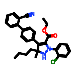 CCCCC1(C)NN(c2ccccc2Cl)C(C(=O)OCC)=C1c1ccc(-c2ccccc2C#N)cc1